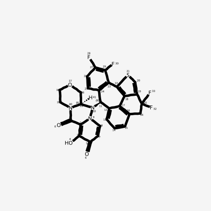 O=C1c2c(O)c(=O)ccn2N([C@@H]2c3cccc4c3-c3c(csc3-c3c2ccc(F)c3F)C(F)(F)C4)[C@@H]2COCCN12